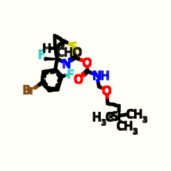 C[Si](C)(C)CCOCNC(=O)OC1=N[C@](CF)(c2cc(Br)ccc2F)[C@@H]2C[C@]2(C=O)S1